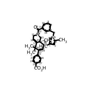 Cc1cc(C)n(Cc2cccc(C(=O)N3CC=C4C(C)(C)C(c5ccc(C(=O)O)cc5)=CC[C@]4(C)C3)c2)n1